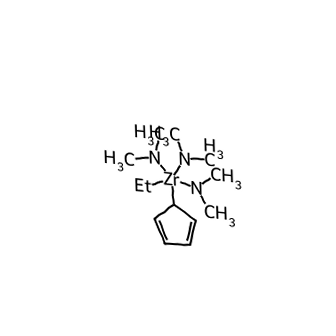 C[CH2][Zr]([CH]1C=CC=C1)([N](C)C)([N](C)C)[N](C)C